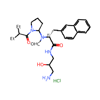 CCC(CC)C(=O)N1CCCC1N(C=O)[C@H](Cc1ccc2ccccc2c1)C(=O)NCC(O)CN.Cl